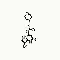 O=C(NCC1CCOCC1)Oc1cc(Cl)nc2c(Br)cnn12